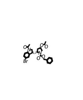 CC(=O)O[C@H]1C[C@@H](C[C@H]2CN(C(C)=O)c3ccc(Br)cc32)N(C(=O)OCc2ccccc2)C1